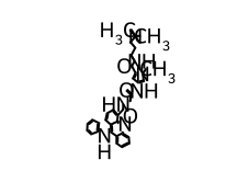 CN(C)CCCNC(=O)c1cc(NC(=O)CNC(=O)c2cccc3c(Nc4ccccc4)c4ccccc4nc23)cn1C